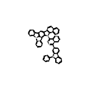 c1ccc(-n2c3ccccc3c3ccc(-c4nnc(-n5c6c7ccccc7ccc6c6cc7c8ccccc8n8c9ccccc9c(c65)c78)c5ccccc45)cc32)cc1